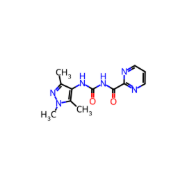 Cc1nn(C)c(C)c1NC(=O)NC(=O)c1ncccn1